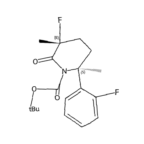 CC(C)(C)OC(=O)N1C(=O)[C@](C)(F)CC[C@@]1(C)c1ccccc1F